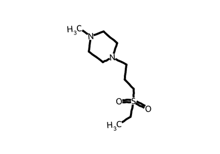 CCS(=O)(=O)CCCN1CCN(C)CC1